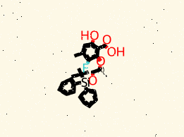 Cc1cc(O)c(C(=O)O)c(O[C@H](C)CO[Si](c2ccccc2)(c2ccccc2)C(C)(C)C)c1F